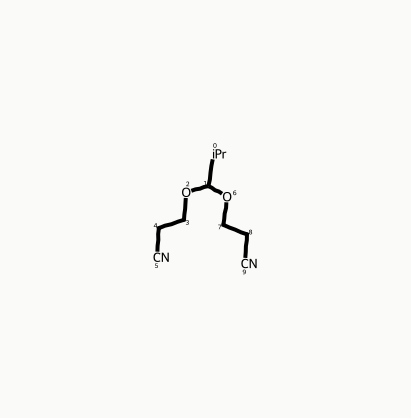 CC(C)C(OCCC#N)OCCC#N